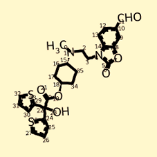 CN(CCn1c(=O)oc2cc(C=O)ccc21)[C@H]1CC[C@H](OC(=O)C(O)(c2cccs2)c2cccs2)CC1